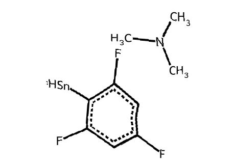 CN(C)C.Fc1cc(F)[c]([SnH])c(F)c1